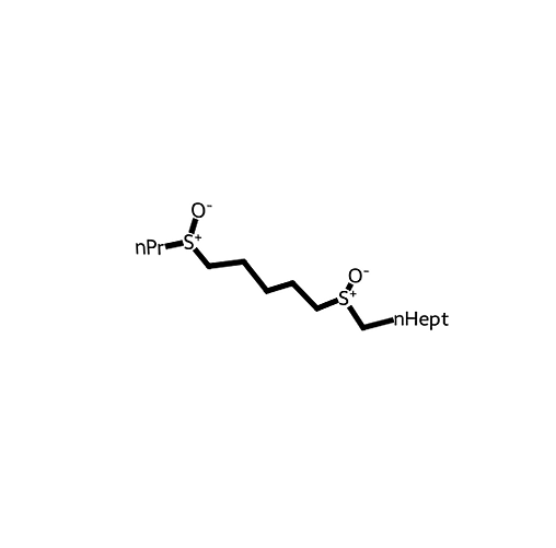 CCCCCCCC[S+]([O-])CCCCC[S+]([O-])CCC